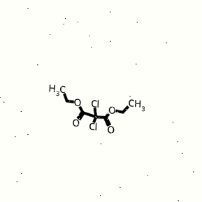 CCOC(=O)C(Cl)(Cl)C(=O)OCC